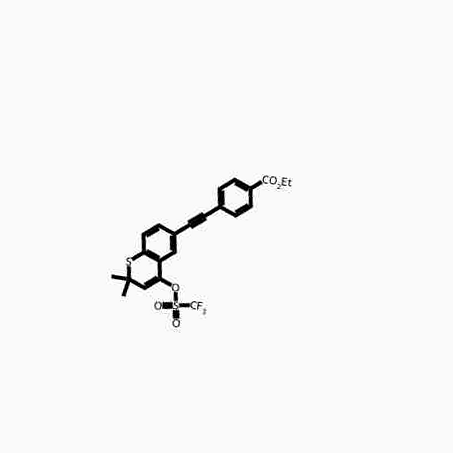 CCOC(=O)c1ccc(C#Cc2ccc3c(c2)C(OS(=O)(=O)C(F)(F)F)=CC(C)(C)S3)cc1